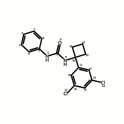 O=C(Nc1ccccc1)NC1(c2cc(Cl)cc(Cl)c2)CCC1